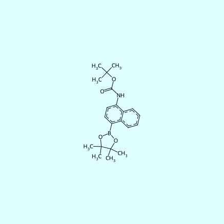 CC(C)(C)OC(=O)Nc1ccc(B2OC(C)(C)C(C)(C)O2)c2ccccc12